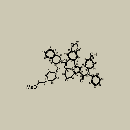 COCCN1CCN(C[C@@H]2Cc3ccccc3CN2C(=O)c2cc3c(cc2-c2cc(C(=O)N(c4ccccc4)c4ccc(O)cc4)c4n2CCCC4)OCO3)CC1